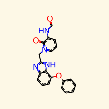 O=CNc1cccn(Cc2nc3cccc(Oc4ccccc4)c3[nH]2)c1=O